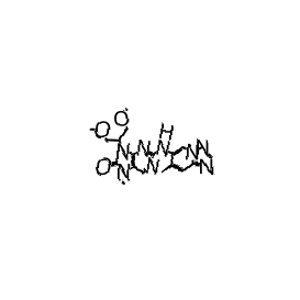 COCC(COC)n1c(=O)n(C)c2cnc(Nc3cn4ncnc4cc3C)nc21